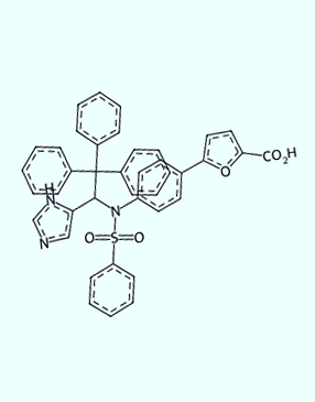 O=C(O)c1ccc(-c2ccc(N(C(c3cnc[nH]3)C(c3ccccc3)(c3ccccc3)c3ccccc3)S(=O)(=O)c3ccccc3)cc2)o1